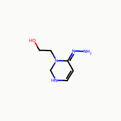 NN=C1C=CNCN1CCO